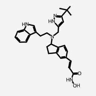 CC(C)(C)c1cc(CN(CCc2c[nH]c3ccccc23)C2CCc3cc(C=CC(=O)NO)ccc32)[nH]n1